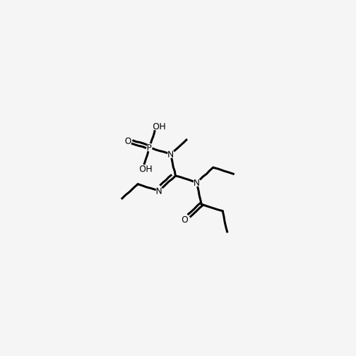 CCN=C(N(CC)C(=O)CC)N(C)P(=O)(O)O